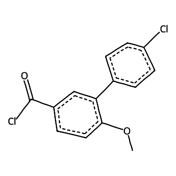 COc1ccc(C(=O)Cl)cc1-c1ccc(Cl)cc1